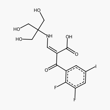 O=C(O)/C(=C\NC(CO)(CO)CO)C(=O)c1cc(I)cc(F)c1F